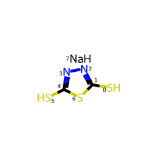 Sc1nnc(S)s1.[NaH]